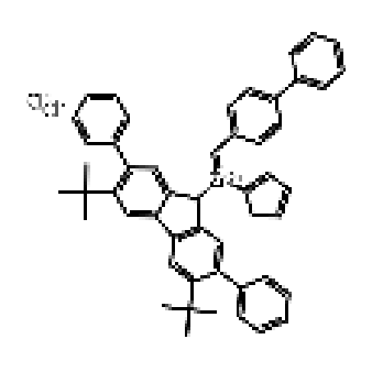 CC(C)(C)c1cc2c(cc1-c1ccccc1)[CH](/[Zr+2](=[CH]/c1ccc(-c3ccccc3)cc1)[C]1=CC=CC1)c1cc(-c3ccccc3)c(C(C)(C)C)cc1-2.[Cl-].[Cl-]